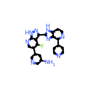 Nc1cncc(-c2cnc3[nH]nc(-c4nc5c(-c6ccncc6)nccc5[nH]4)c3c2F)c1